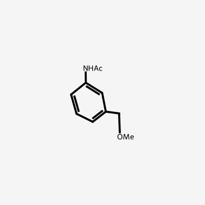 COCc1cccc(NC(C)=O)c1